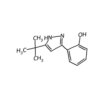 CC(C)(C)c1cc(-c2ccccc2O)n[nH]1